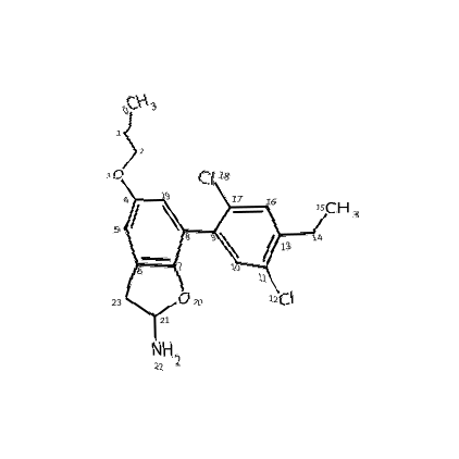 CCCOc1cc2c(c(-c3cc(Cl)c(CC)cc3Cl)c1)OC(N)C2